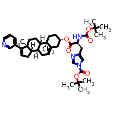 CC(C)(C)OC(=O)N[C@@H](Cc1cn(C(=O)OC(C)(C)C)cn1)C(=O)O[C@H]1CC[C@@]2(C)C(=CC[C@@H]3[C@@H]2CC[C@]2(C)C(c4cccnc4)=CC[C@@H]32)C1